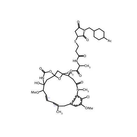 COc1cc2cc(c1Cl)N(C)C(=O)CC(OC(=O)C(C)NC(=O)CCSC1CC(=O)N(CC3CCC(C(C)=O)CC3)C1=O)C1(C)CC3(CC(O)(NC(=O)O3)C(OC)/C=C/C=C(\C)C2)O1